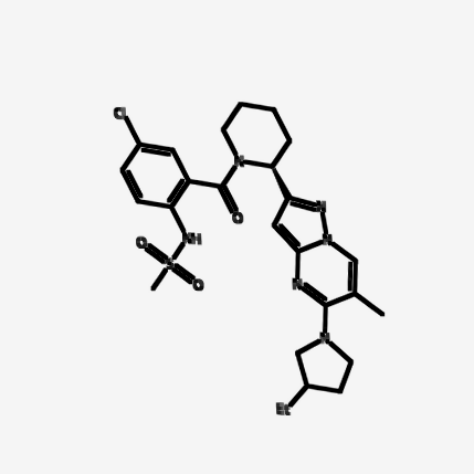 CCC1CCN(c2nc3cc([C@@H]4CCCCN4C(=O)c4cc(Cl)ccc4NS(C)(=O)=O)nn3cc2C)C1